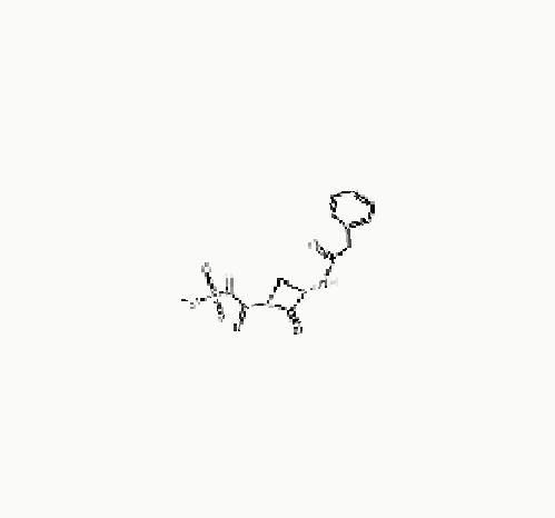 NS(=O)(=O)NC(=O)N1C[C@H](NC(=O)Cc2ccccc2)C1=O